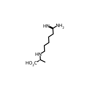 C[C@H](NCCCCCC(=N)N)C(=O)O